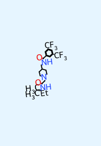 CCC(C)(C)NC(=O)CN1CCC(CNC(=O)c2cc(C(F)(F)F)cc(C(F)(F)F)c2)CC1